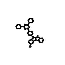 Brc1ccc2c(c1)c1c3ccccc3sc1n2-c1ccc(-c2nc(-c3ccccc3)nc(-c3ccccc3)n2)cc1